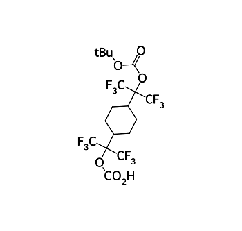 CC(C)(C)OC(=O)OC(C1CCC(C(OC(=O)O)(C(F)(F)F)C(F)(F)F)CC1)(C(F)(F)F)C(F)(F)F